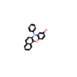 Brc1ccc2c(c1)N(c1ccccc1)c1ccc3ccccc3c1O2